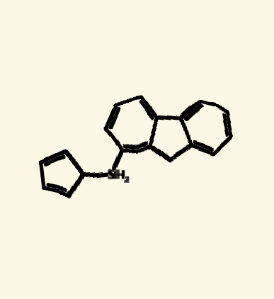 C1=CC([SiH2]c2cccc3c2Cc2ccccc2-3)C=C1